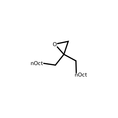 CCCCCCCCCC1(CCCCCCCCC)CO1